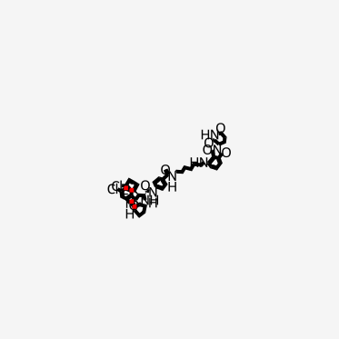 O=C1CCC(N2C(=O)c3cccc(NCCCCCCNC(=O)c4ccc(NC(=O)[C@@H]5NC6(CCCCC6)[C@@]6(C(=O)Nc7cc(Cl)ccc76)[C@H]5c5cccc(Cl)c5F)cc4)c3C2=O)C(=O)N1